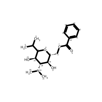 CC(C)C1O[C@H](COC(=O)c2ccccc2)[C@@H](O)[C@H](N(C)C)[C@H]1O